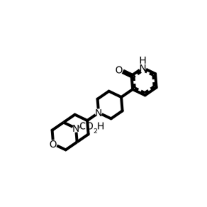 O=C(O)N1C2COCC1CC(N1CCC(c3ccc[nH]c3=O)CC1)C2